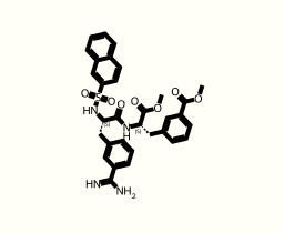 COC(=O)c1cccc(C[C@H](NC(=O)[C@H](Cc2cccc(C(=N)N)c2)NS(=O)(=O)c2ccc3ccccc3c2)C(=O)OC)c1